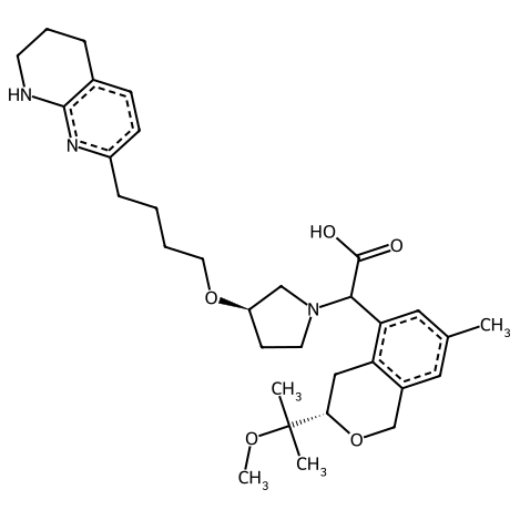 COC(C)(C)[C@@H]1Cc2c(cc(C)cc2C(C(=O)O)N2CC[C@@H](OCCCCc3ccc4c(n3)NCCC4)C2)CO1